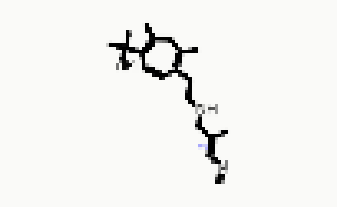 C=N/C=C(\C)CNCCC1=C(C)CC(C)=C(C(C)(C)CCC)C=C1